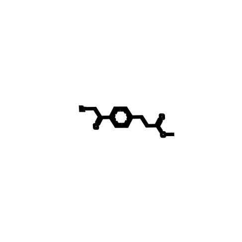 COC(=O)CCc1ccc(C(=O)CBr)cc1